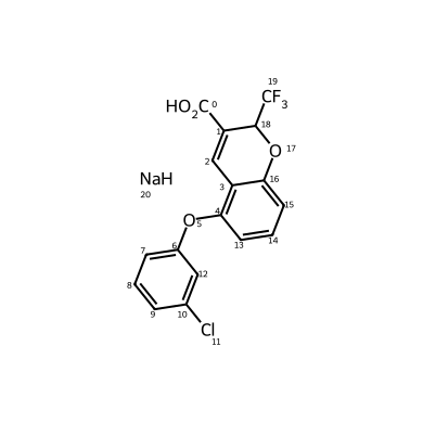 O=C(O)C1=Cc2c(Oc3cccc(Cl)c3)cccc2OC1C(F)(F)F.[NaH]